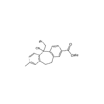 [C-]#[N+]C1(CC(C)C)c2ccc(C)cc2CCc2cc(C(=O)OC)ccc21